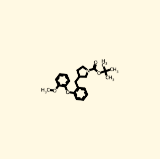 COc1ccccc1Oc1ccccc1CC1CCN(C(=O)OC(C)(C)C)C1